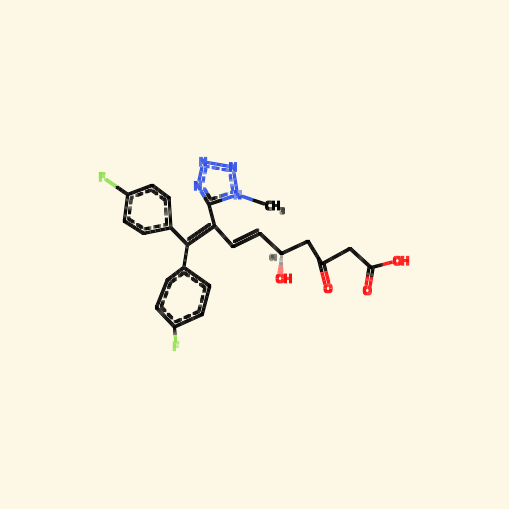 Cn1nnnc1C(C=C[C@@H](O)CC(=O)CC(=O)O)=C(c1ccc(F)cc1)c1ccc(F)cc1